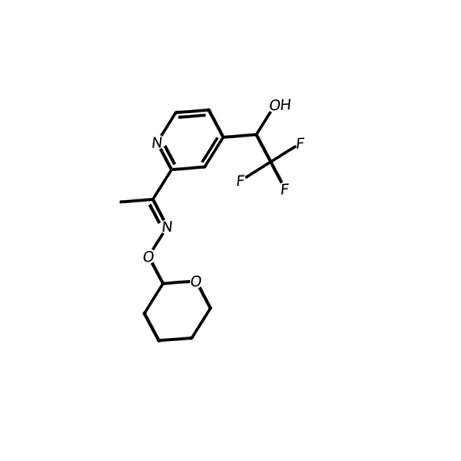 C/C(=N\OC1CCCCO1)c1cc(C(O)C(F)(F)F)ccn1